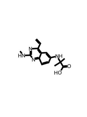 C=Cc1nc(NC)nc2ccc(NC(C)(C)C(=O)O)cc12